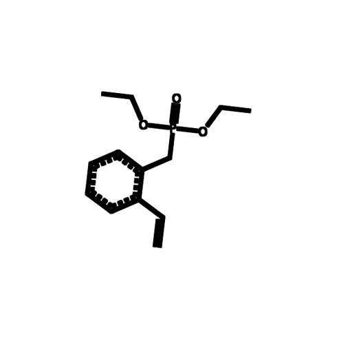 C=Cc1ccccc1CP(=O)(OCC)OCC